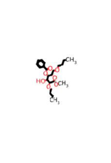 CCCCOCC1O[C@@H](OC)C(OCCCC)C(O)[C@H]1OC(=O)c1ccccc1